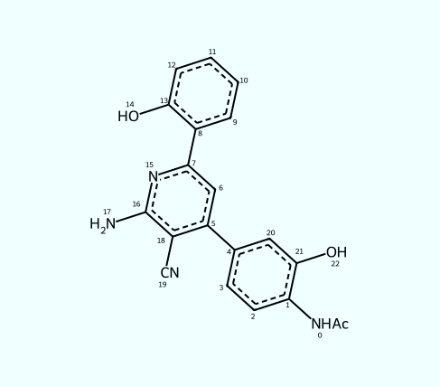 CC(=O)Nc1ccc(-c2cc(-c3ccccc3O)nc(N)c2C#N)cc1O